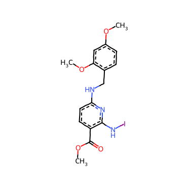 COC(=O)c1ccc(NCc2ccc(OC)cc2OC)nc1NI